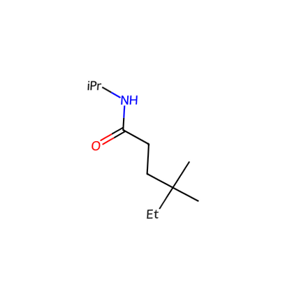 CCC(C)(C)CCC(=O)NC(C)C